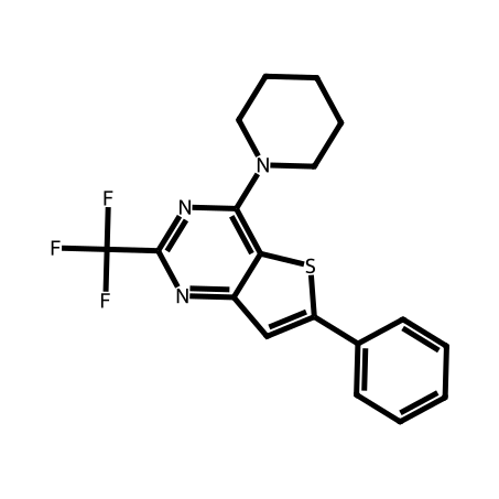 FC(F)(F)c1nc(N2CCCCC2)c2sc(-c3ccccc3)cc2n1